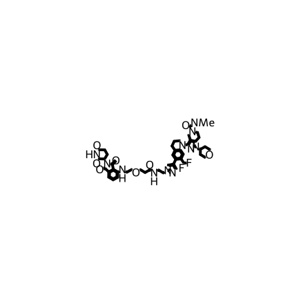 CNC(=O)N1CCc2c(c(N3CCCc4cc(-c5cnn(CCNC(=O)CCOCCNc6cccc7c6C(=O)N(C6CCC(=O)NC6=O)C7=O)c5)c(C(F)F)cc43)nn2C2CCOCC2)C1